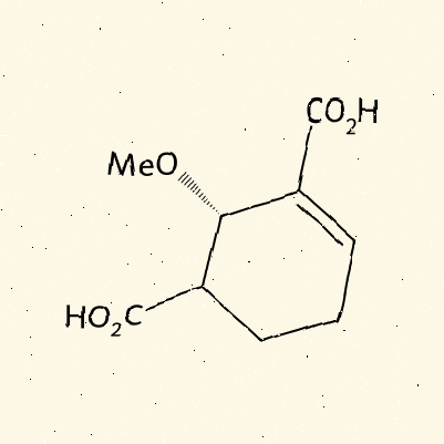 CO[C@@H]1C(C(=O)O)=CCCC1C(=O)O